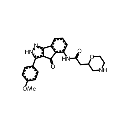 COc1ccc(-c2[nH]nc3c2C(=O)c2c(NC(=O)CC4CNCCO4)cccc2-3)cc1